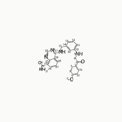 COc1ccc(C(=O)CNc2cccc(CNc3ncnc4c(C(N)=O)cccc34)c2)cc1